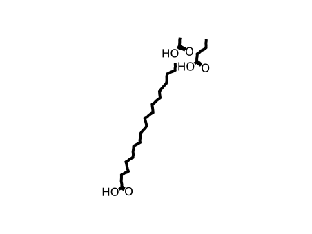 CC(=O)O.CCCC(=O)O.CCCCCCCCCCCCCCCCCC(=O)O